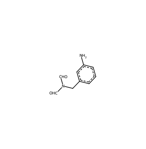 Nc1cccc(CN(C=O)C=O)c1